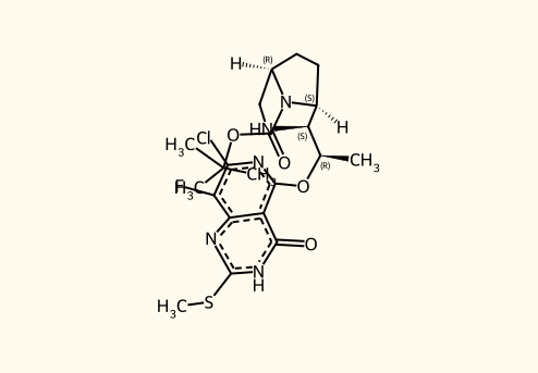 CSc1nc2c(F)c(Cl)nc(O[C@H](C)[C@H]3NC[C@H]4CC[C@@H]3N4C(=O)OC(C)(C)C)c2c(=O)[nH]1